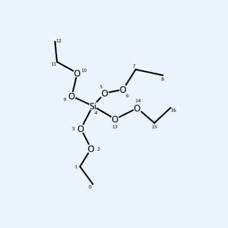 CCOO[Si](OOCC)(OOCC)OOCC